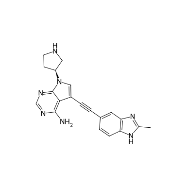 Cc1nc2cc(C#Cc3cn([C@H]4CCNC4)c4ncnc(N)c34)ccc2[nH]1